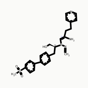 C=NN(/C=C(\N)CCc1ccncc1)[C@H](CO)Cc1ccc(-c2ccc(S(C)(=O)=O)cc2)cc1